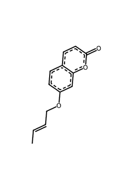 CC=CCOc1ccc2ccc(=O)oc2c1